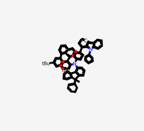 CC(C)(C)c1cc(-c2cccc3cccc(-c4ccccc4N(c4ccc(-c5cccc6c7ccccc7n(-c7ccccc7)c56)cc4)c4cccc5c4-c4ccccc4C5(C)C4=CC=CCC4)c23)cc(C(C)(C)C)c1